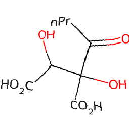 CCCC(=O)C(O)(C(=O)O)C(O)C(=O)O